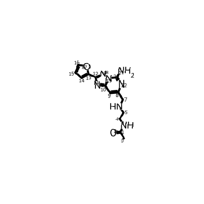 CC(=O)NCCNCc1cc2nc(-c3ccco3)nn2c(N)n1